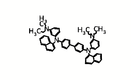 CCN(CC)c1cccc(N(c2ccc(-c3ccc(N(c4cccc(N(CC)CC)c4)c4cccc5ccccc45)cc3)cc2)c2cccc3ccccc23)c1